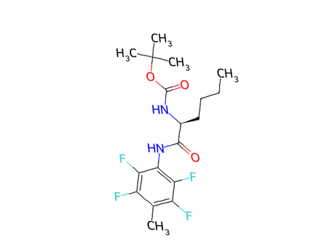 CCCC[C@H](NC(=O)OC(C)(C)C)C(=O)Nc1c(F)c(F)c(C)c(F)c1F